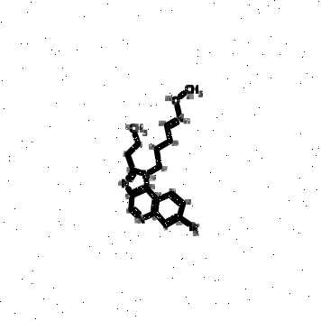 CCCc1nc2cnc3cc(Br)ccc3c2n1CCC/C=N/OC